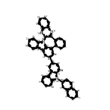 c1ccc2c(c1)-c1nc3ccccc3nc1-n1c3ccccc3c3cc(-c4ccc5c(c4)c4ccccc4n5-c4ccc5ccccc5c4)cc-2c31